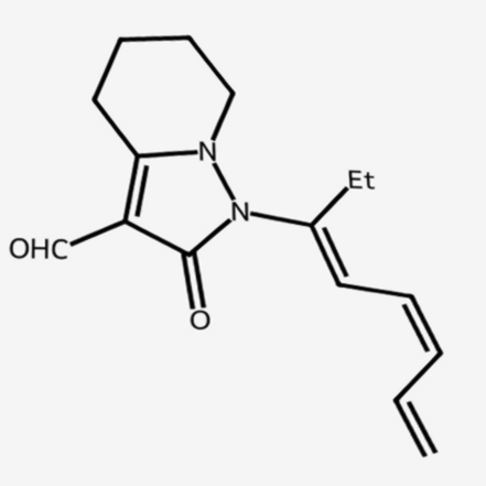 C=C/C=C\C=C(/CC)n1c(=O)c(C=O)c2n1CCCC2